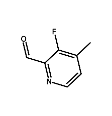 Cc1ccnc(C=O)c1F